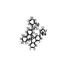 c1ccc2c(c1)-c1ccc(-n3cccn3)cc1B1c3cc(-n4cnc5ccccc54)ccc3-c3ccccc3N12